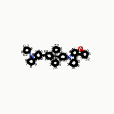 c1ccc(-n2c3ccccc3c3cc(-c4ccc([Si](c5ccccc5)(c5ccccc5)c5ccc(-n6c7ccccc7c7c8c(ccc76)oc6ccccc68)cc5)cc4)ccc32)cc1